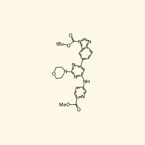 COC(=O)c1ccc(Nc2cc(-c3ccc4ncn(C(=O)OC(C)(C)C)c4c3)nc(N3CCOCC3)n2)cn1